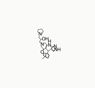 Cc1ccc(C2C3=C(CN(CC(O)CN4CCCCC4)CC3=O)Nc3n[nH]cc32)o1